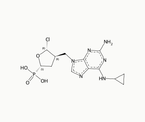 Nc1nc(NC2CC2)c2ncn(C[C@H]3C[C@H](P(=O)(O)O)O[C@@H]3Cl)c2n1